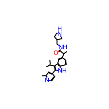 Cc1cc(-c2[nH]c3ccc(C(C)C(=O)NCC4CCNC4)cc3c2C(C)C)ccn1